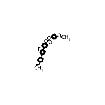 CCC[C@H]1CC[C@H](c2ccc(-c3ccc(OC(=O)Oc4ccc(OCC)cc4)cc3)c(F)c2)CC1